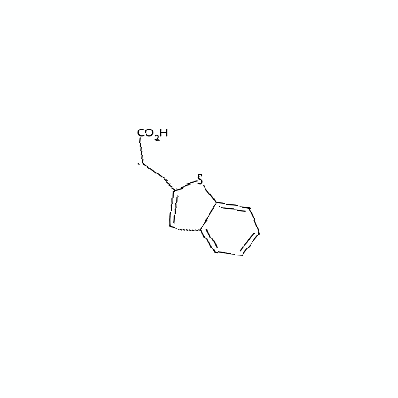 O=C(O)[CH]c1cc2ccccc2s1